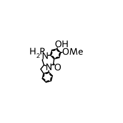 COc1cc2c(cc1O)N(P)CC1Cc3ccccc3N1C2=O